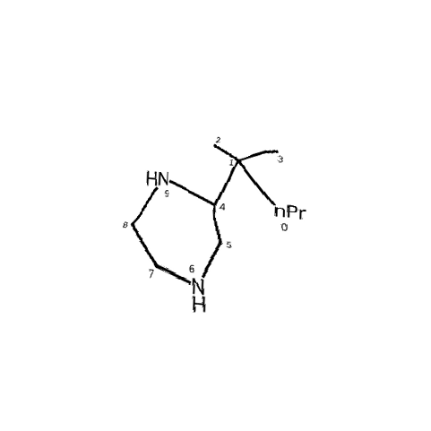 CCCC(C)(C)C1CNCCN1